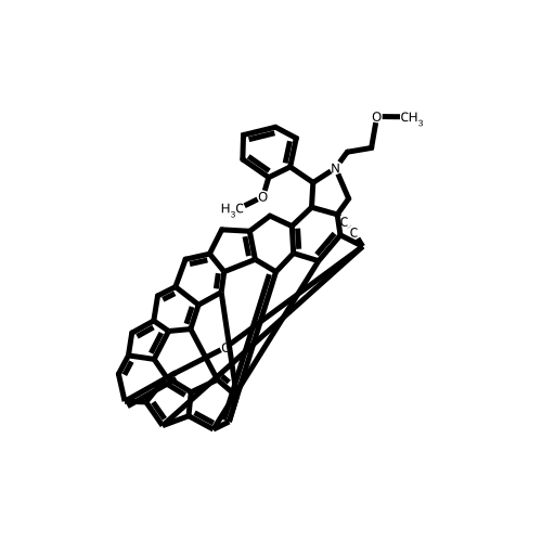 COCCN1CC23CCC45CC=c6cc7cc8cc9cc%10c%11c%12c%13c(c(c%14c%15c4c6c4c7c8c6c9c%11c(c%13%14)c6c%154)=C52)=C(CC=%12C%10)C3C1c1ccccc1OC